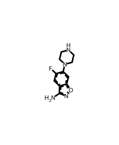 Nc1noc2cc(N3CCNCC3)c(F)cc12